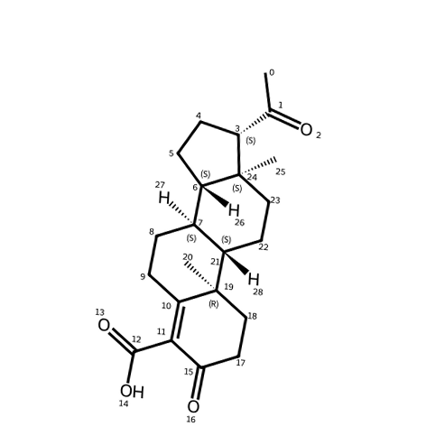 CC(=O)[C@H]1CC[C@H]2[C@@H]3CCC4=C(C(=O)O)C(=O)CC[C@]4(C)[C@H]3CC[C@]12C